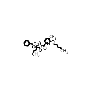 C=CCCCOc1nc(C(=O)N(N)C(=O)C(CC=C)(OCc2ccccc2)C(F)(F)F)ccc1C(F)(F)F